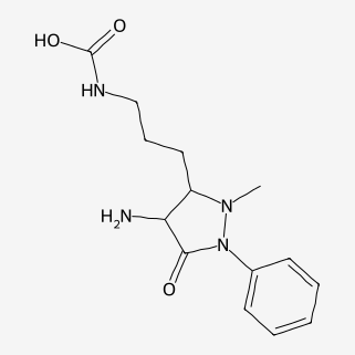 CN1C(CCCNC(=O)O)C(N)C(=O)N1c1ccccc1